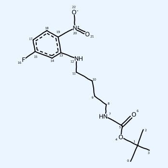 CC(C)(C)OC(=O)NCCCCNc1cc(F)ccc1[N+](=O)[O-]